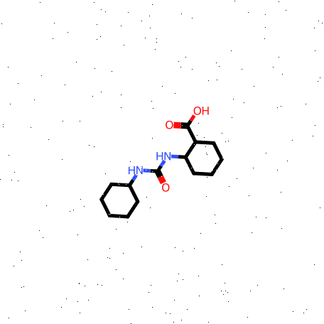 O=C(NC1CCCCC1)NC1CCCCC1C(=O)O